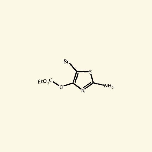 CCOC(=O)Oc1nc(N)sc1Br